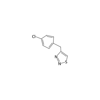 Clc1ccc(Cc2csnn2)cc1